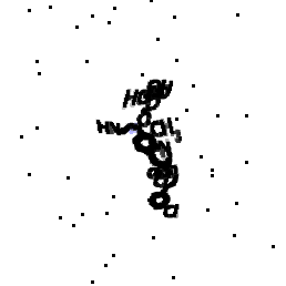 Cc1c(/C(=C\C=N)OCOP(=O)(O)O)ccc2cc(P3(=O)OCCC(c4cccc(Cl)c4)O3)cnc12